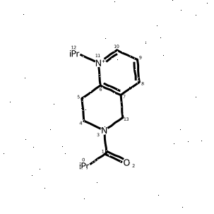 CC(C)C(=O)N1CCc2c(ccc[n+]2C(C)C)C1